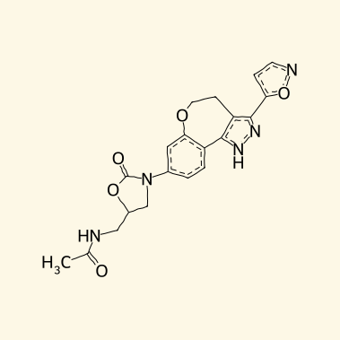 CC(=O)NCC1CN(c2ccc3c(c2)OCCc2c(-c4ccno4)n[nH]c2-3)C(=O)O1